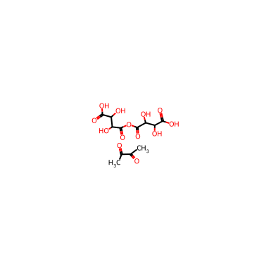 CC(=O)C(C)=O.O=C(O)C(O)C(O)C(=O)OC(=O)C(O)C(O)C(=O)O